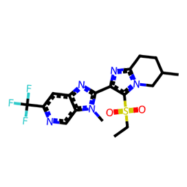 CCS(=O)(=O)c1c(-c2nc3cc(C(F)(F)F)ncc3n2C)nc2n1CC(C)CC2